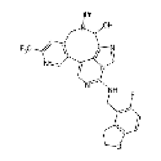 CC(C)N1Cc2cc(C(F)(F)F)ncc2-c2cnc(NCc3c(F)ccc4c3CCO4)n3cnc(c23)C1O